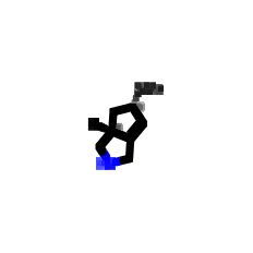 CN[C@@H]1C=C2CNC[C@@H]2C1